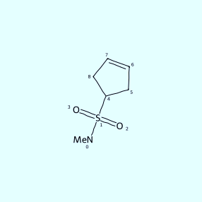 CNS(=O)(=O)C1CC=CC1